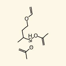 C=COCCC(C)[SiH](OC(=C)C)OC(=C)C